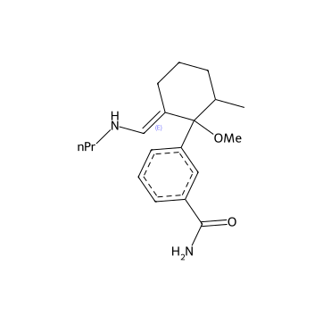 CCCN/C=C1\CCCC(C)C1(OC)c1cccc(C(N)=O)c1